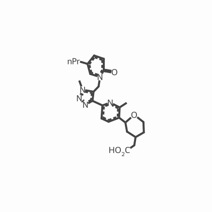 CCCc1ccc(=O)n(Cc2c(-c3ccc(C4CC(CC(=O)O)CCO4)c(C)n3)nnn2C)c1